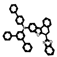 c1ccc(-c2ccc(N(c3cc(-c4ccccc4)cc(-c4ccccc4)c3)c3ccc4c5c(oc4c3)C(c3nc4ccccc4o3)Cc3ccccc3-5)cc2)cc1